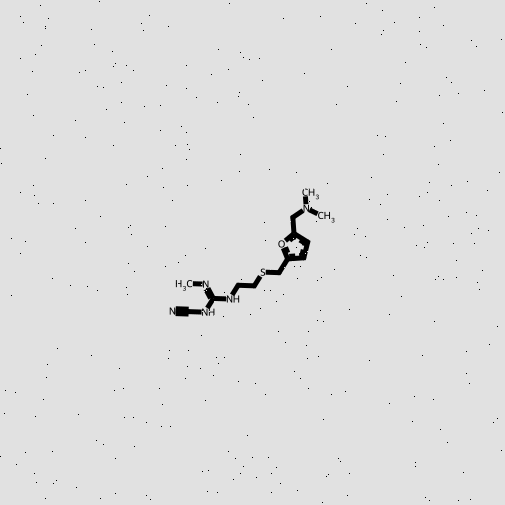 CN=C(NC#N)NCCSCc1ccc(CN(C)C)o1